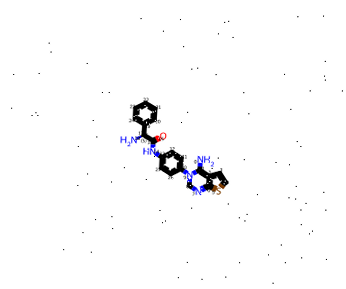 NC1=c2ccsc2=NCN1c1ccc(NC(=O)[C@@H](N)c2ccccc2)cc1